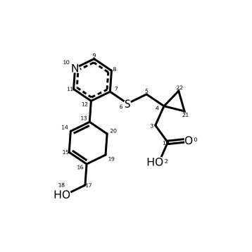 O=C(O)CC1(CSc2ccncc2C2=CC=C(CO)CC2)CC1